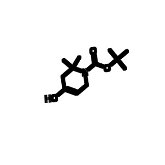 CC(C)(C)OC(=O)N1CC=C(O)CC1(C)C